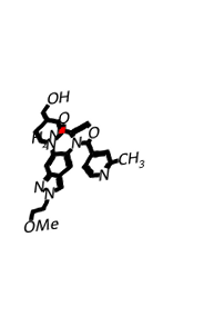 COCCn1cc2cc(N3C(C(N)=O)=COC3c3ccnc(C)c3)c(N3CCC(CO)CC3)cc2n1